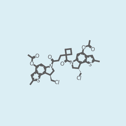 CC(=O)Oc1cc2c(c3sc(C)cc13)[C@H](CCl)CN2C(=O)CCC1(C(=O)N2C[C@@H](CCl)c3c2cc(OC(C)=O)c2cc(C)sc32)CCC1